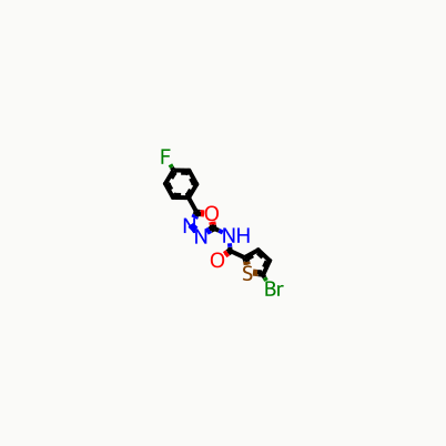 O=C(Nc1nnc(-c2ccc(F)cc2)o1)c1ccc(Br)s1